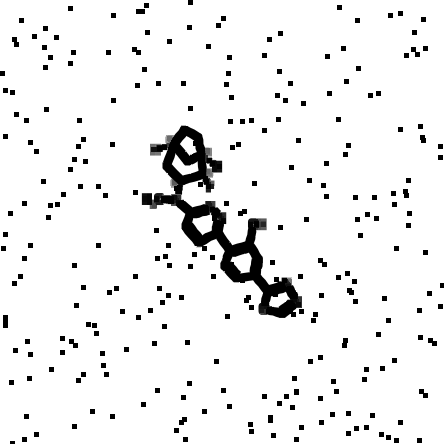 CN(c1ccc(-c2ccc(-c3nnco3)cc2O)nn1)[C@@H]1C[C@H]2CC[C@H](C2)[C@@H]1F